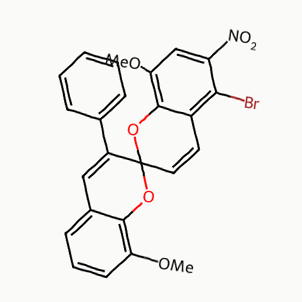 COc1cccc2c1OC1(C=Cc3c(Br)c([N+](=O)[O-])cc(OC)c3O1)C(c1ccccc1)=C2